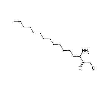 CCCCCCCCCCCCCC(N)C(=O)CCl